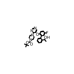 CC(O)c1ccccc1-c1cc(F)ccc1Oc1cncnc1N1CCN(C(=O)OC(C)(C)C)CC1